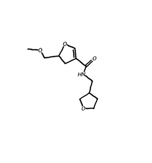 COCC1CC(C(=O)NCC2CCOC2)=CO1